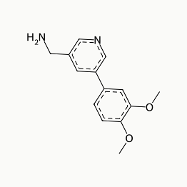 COc1ccc(-c2cncc(CN)c2)cc1OC